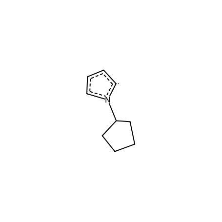 [c]1cccn1C1CCCC1